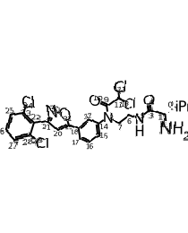 CC(C)[C@H](N)C(=O)NCCN(C(=O)C(Cl)Cl)c1cccc(-c2cc(-c3c(Cl)cccc3Cl)no2)c1